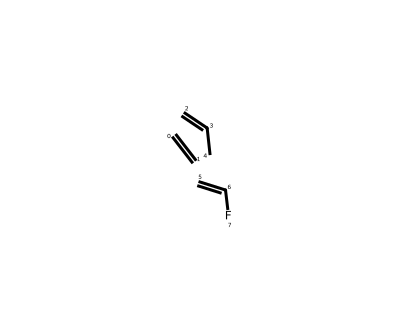 C=C.C=CC.C=CF